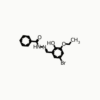 CCOc1cc(Br)cc(C=NNC(=O)c2ccccc2)c1O